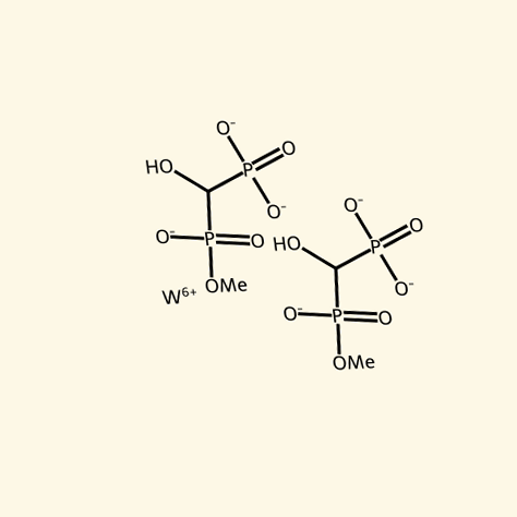 COP(=O)([O-])C(O)P(=O)([O-])[O-].COP(=O)([O-])C(O)P(=O)([O-])[O-].[W+6]